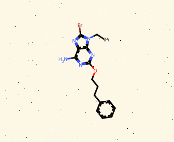 CC(C)Cn1c(Br)nc2c(N)nc(OCCCc3ccccc3)nc21